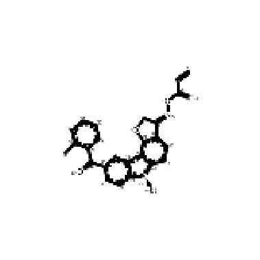 C=CC(=O)O/N=C1\COc2c1ccc1c2c2cc(C(=O)c3ccccc3C)ccc2n1CC